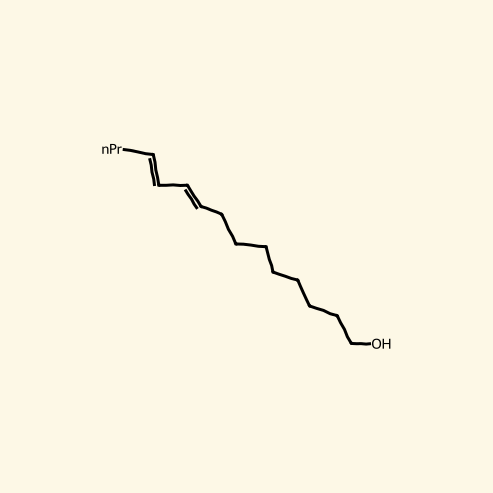 CCC/C=C/C=C/CCCCCCCCO